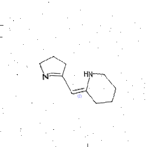 C(/C1=NCCC1)=C1\CCCCN1